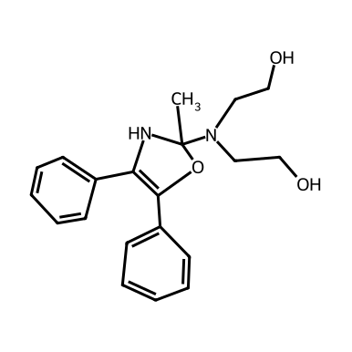 CC1(N(CCO)CCO)NC(c2ccccc2)=C(c2ccccc2)O1